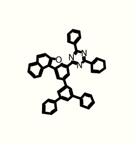 C1=CC(c2nc(-c3ccccc3)nc(-c3cc(-c4cc(-c5ccccc5)cc(-c5ccccc5)c4)cc4c3oc3ccc5ccccc5c34)n2)=CCC1